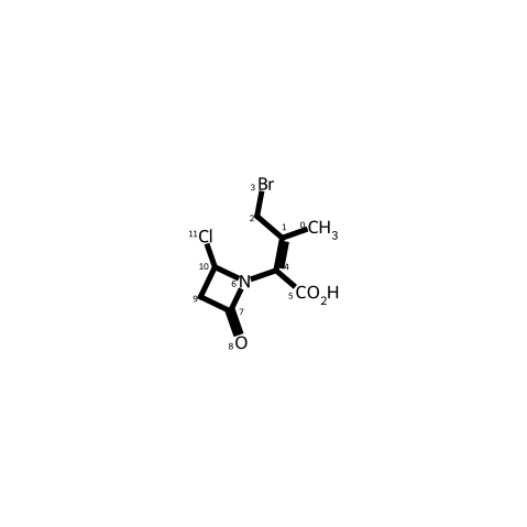 CC(CBr)=C(C(=O)O)N1C(=O)CC1Cl